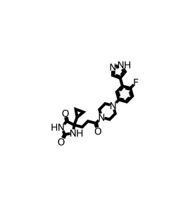 O=C1NC(=O)C(CCC(=O)N2CCN(c3ccc(F)c(-c4cn[nH]c4)c3)CC2)(C2CC2)N1